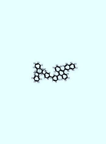 c1cc(-c2ccc3c(c2)sc2c4ccccc4c4sc5ccccc5c4c32)cc(-c2c3ccccc3c(-c3ccc4ccccc4c3)c3ccccc23)c1